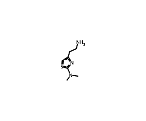 CN(C)c1nc(CCN)cs1